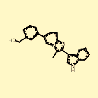 Cc1c(-c2c[nH]c3ccccc23)nc2ccc(-c3cccc(CO)c3)cn12